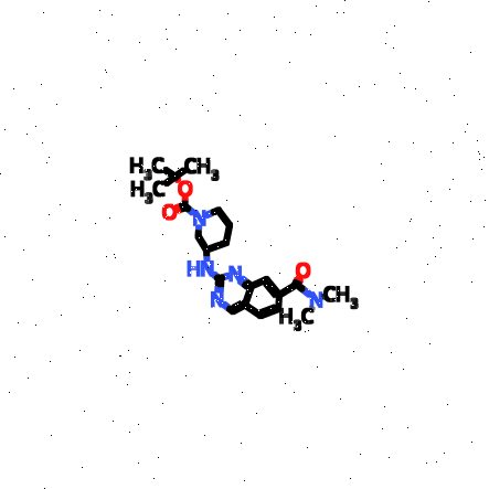 CN(C)C(=O)c1ccc2cnc(NC3CCCN(C(=O)OC(C)(C)C)C3)nc2c1